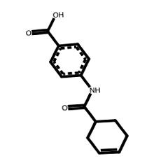 O=C(O)c1ccc(NC(=O)C2CC=CCC2)cc1